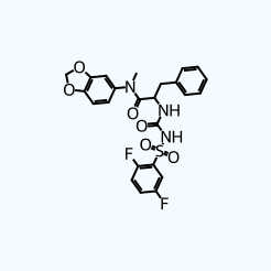 CN(C(=O)C(Cc1ccccc1)NC(=O)NS(=O)(=O)c1cc(F)ccc1F)c1ccc2c(c1)OCO2